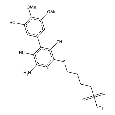 COc1cc(-c2c(C#N)c(N)nc(SCCCCS(N)(=O)=O)c2C#N)cc(O)c1OC